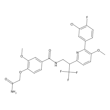 COc1cc(C(=O)NCC(c2ccc(OC)c(-c3ccc(F)c(Cl)c3)n2)C(F)(F)F)ccc1OCC(N)=O